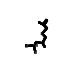 C=C(C)COCC(C)C[SiH](Cl)Cl